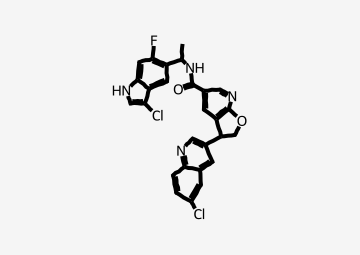 CC(NC(=O)c1cnc2c(c1)C(c1cnc3ccc(Cl)cc3c1)CO2)c1cc2c(Cl)c[nH]c2cc1F